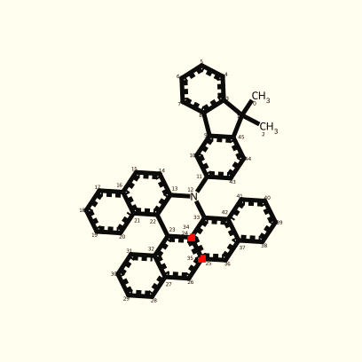 CC1(C)c2ccccc2-c2cc(N(c3ccc4ccccc4c3-c3cccc4ccccc34)c3cccc4ccccc34)ccc21